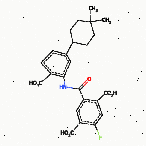 CC1(C)CCC(c2ccc(C(=O)O)c(NC(=O)c3cc(C(=O)O)c(F)cc3C(=O)O)c2)CC1